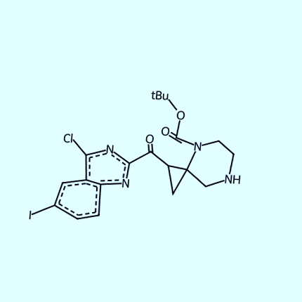 CC(C)(C)OC(=O)N1CCNCC12CC2C(=O)c1nc(Cl)c2cc(I)ccc2n1